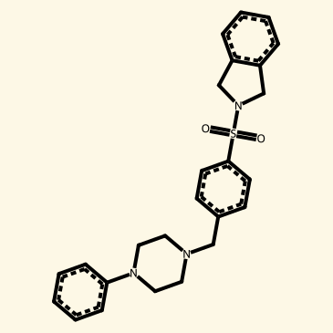 O=S(=O)(c1ccc(CN2CCN(c3ccccc3)CC2)cc1)N1Cc2ccccc2C1